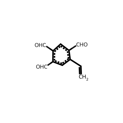 C=Cc1cc(C=O)c(C=O)cc1C=O